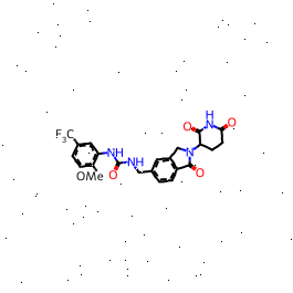 COc1ccc(C(F)(F)F)cc1NC(=O)NCc1ccc2c(c1)CN(C1CCC(=O)NC1=O)C2=O